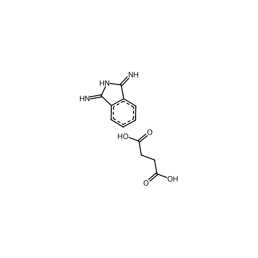 N=C1NC(=N)c2ccccc21.O=C(O)CCC(=O)O